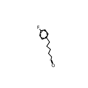 O=[C]CCCCCc1ccc(F)cc1